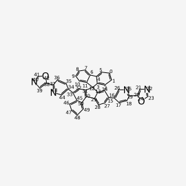 c1ccc2c(c1)-c1ccccc1C21c2cc(-c3ccc(-c4cnco4)nc3)ccc2-c2c1cc(-c1ccc(-c3cnco3)nc1)c1ccccc21